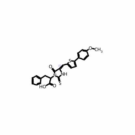 COc1ccc(-c2ccc(/C=C3\NC(=S)N(C(Cc4ccccc4)C(=O)O)C3=O)s2)cc1